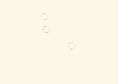 CCCc1cc(CC(=O)OC)ccc1OCCCCOc1ccc(Oc2ccccc2)cc1CCC